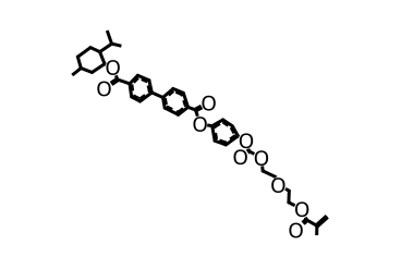 C=C(C)C(=O)OCCOCCOC(=O)Oc1ccc(OC(=O)c2ccc(-c3ccc(C(=O)OC4CC(C)CCC4C(C)C)cc3)cc2)cc1